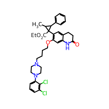 CCOC(=O)C1(c2cc3c(cc2OCCCCN2CCN(c4cccc(Cl)c4Cl)CC2)NC(=O)CC3)C(C)C1c1ccccc1